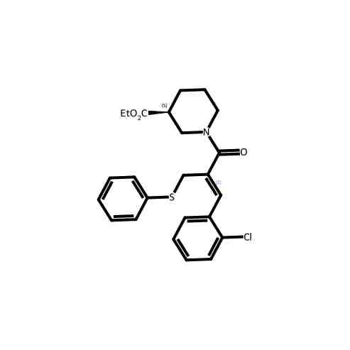 CCOC(=O)[C@H]1CCCN(C(=O)/C(=C/c2ccccc2Cl)CSc2ccccc2)C1